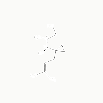 CC[C@@H](C)[C@H](O)C1(CC=C(C)C)CC1